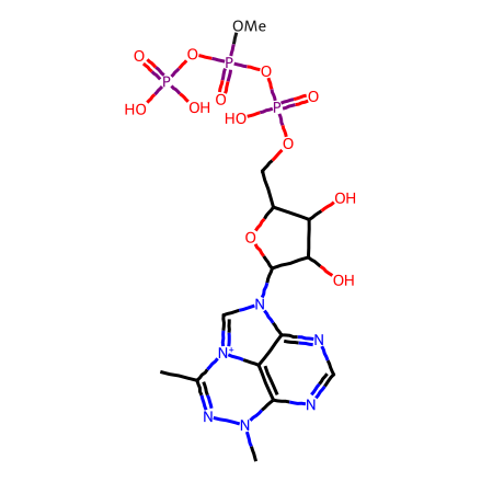 COP(=O)(OP(=O)(O)O)OP(=O)(O)OCC1OC(n2c[n+]3c4c(ncnc42)N(C)N=C3C)C(O)C1O